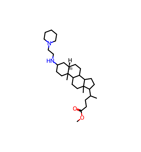 COC(=O)CCC(C)C1CCC2C3CC[C@H]4CC(NCCN5CCCCC5)CCC4(C)C3CCC12C